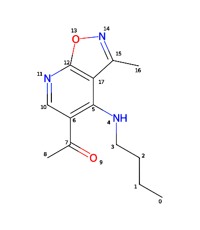 CCCCNc1c(C(C)=O)cnc2onc(C)c12